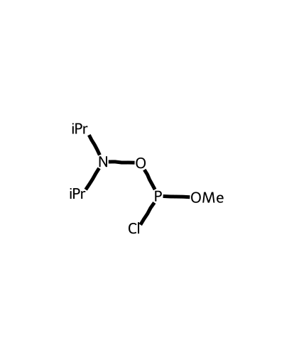 COP(Cl)ON(C(C)C)C(C)C